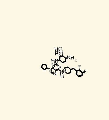 Cl.Cl.Cl.NC1CCC(Nc2nc(NN3CCC(Cc4cccc(F)c4F)CC3)c3ncn(C4CCCC4)c3n2)CC1